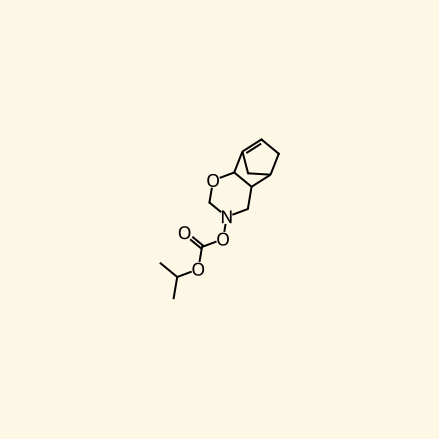 CC(C)OC(=O)ON1COC2C3=CCC(C3)C2C1